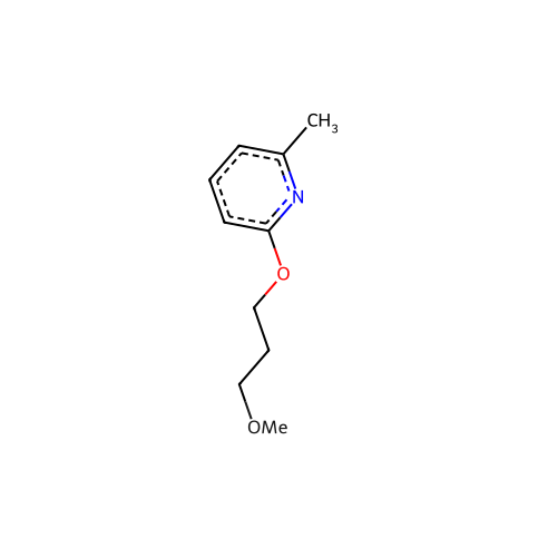 COCCCOc1cccc(C)n1